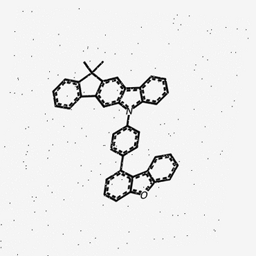 CC1(C)c2ccccc2-c2cc3c(cc21)c1ccccc1n3-c1ccc(-c2cccc3oc4ccccc4c23)cc1